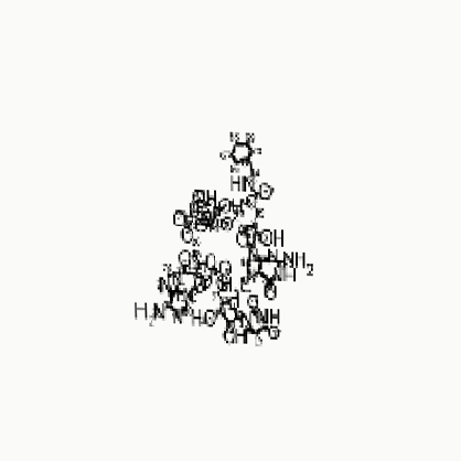 CO[C@@H]1[C@H](OP(=O)([O-])OC[C@H]2O[C@@H](n3ccc(=O)[nH]c3=O)[C@H](O)[C@@H]2O)[C@@H](COP(=O)(O)OP(=O)(O)OP(=O)(O)OC[C@H]2O[C@@H](n3c[n+](C)c4c(=O)[nH]c(N)nc43)[C@H](O)[C@@H]2COC(=O)NCc2ccccc2)O[C@H]1n1cnc2c(N)ncnc21